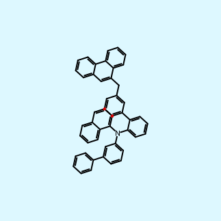 c1ccc(-c2cccc(N(c3ccccc3-c3cccc(Cc4cc5ccccc5c5ccccc45)c3)c3cccc4ccccc34)c2)cc1